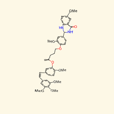 C=C(CCCOc1ccc(C2NC(=O)c3cc(OC)ccc3N2)cc1OC)Oc1cc(/C=C\c2cc(OC)c(OC)c(OC)c2)ccc1OC